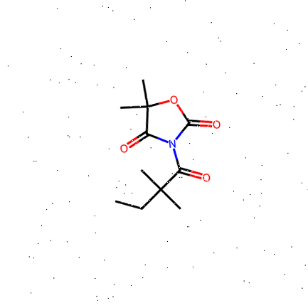 CCC(C)(C)C(=O)N1C(=O)OC(C)(C)C1=O